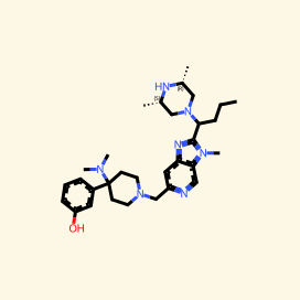 CCCC(c1nc2cc(CN3CCC(c4cccc(O)c4)(N(C)C)CC3)ncc2n1C)N1C[C@@H](C)N[C@@H](C)C1